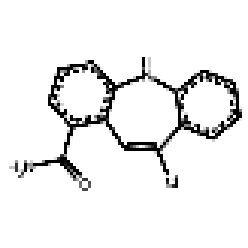 NC(=O)c1cccc2c1C=C(Cl)c1ccccc1N2